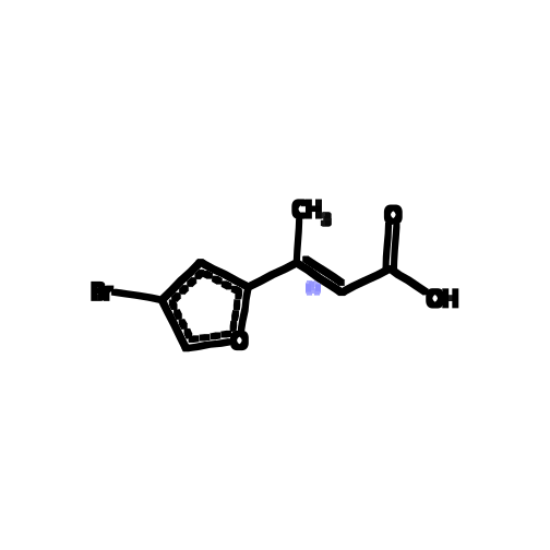 C/C(=C\C(=O)O)c1cc(Br)co1